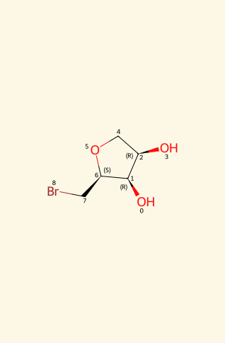 O[C@@H]1[C@H](O)CO[C@@H]1CBr